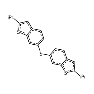 CC(C)c1cc2ccc(Sc3ccc4cc(C(C)C)sc4c3)cc2s1